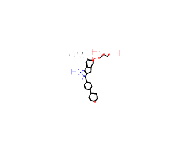 COc1cc2c(cc1OC[C@@H](O)CO)Cc1c(-c3ccc(-c4ccc(O)cc4)cc3)n[nH]c1-2